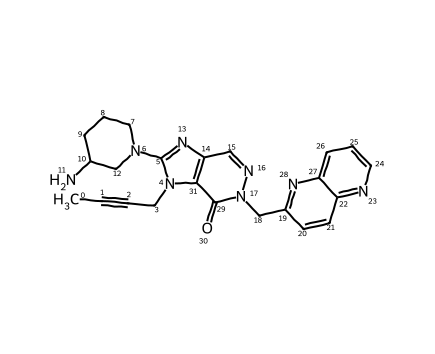 CC#CCn1c(N2CCCC(N)C2)nc2cnn(Cc3ccc4ncccc4n3)c(=O)c21